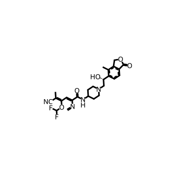 C=N/C(=C\C(OC(F)F)=C(/C)C#N)C(=O)NC1CCN(C[C@H](O)c2ccc3c(c2C)COC3=O)CC1